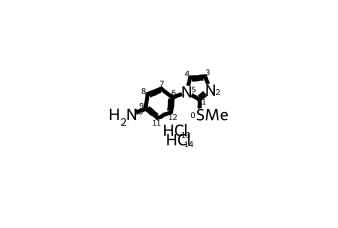 CSc1nccn1-c1ccc(N)cc1.Cl.Cl